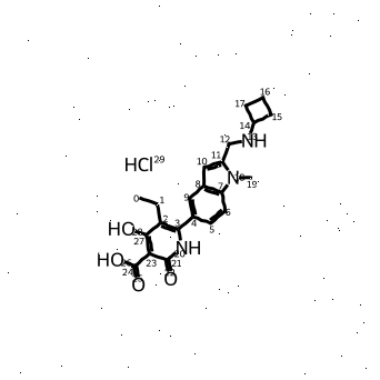 CCc1c(-c2ccc3c(c2)cc(CNC2CCC2)n3C)[nH]c(=O)c(C(=O)O)c1O.Cl